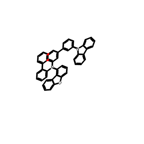 c1ccc(-c2ccccc2N(c2cccc(-c3cccc(-n4c5ccccc5c5ccccc54)c3)c2)c2cccc3oc4ccccc4c23)cc1